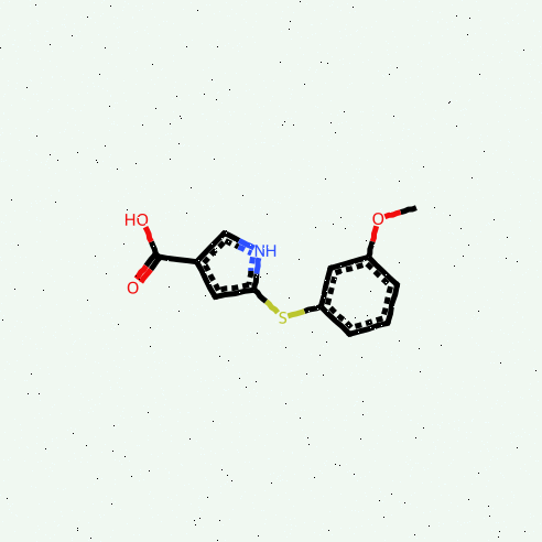 COc1cccc(Sc2cc(C(=O)O)c[nH]2)c1